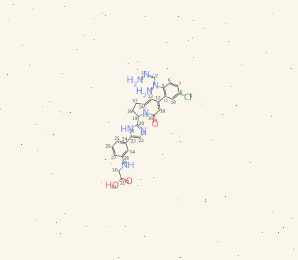 N/N=C\N(N)c1ccc(Cl)cc1-c1cc2n(c(=O)c1)C(c1ncc(-c3cccc(NCC(=O)O)c3)[nH]1)CC2